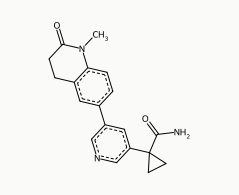 CN1C(=O)CCc2cc(-c3cncc(C4(C(N)=O)CC4)c3)ccc21